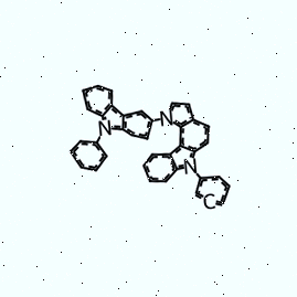 c1ccc(-n2c3ccccc3c3cc(-n4ccc5ccc6c(c7ccccc7n6-c6ccccc6)c54)ccc32)cc1